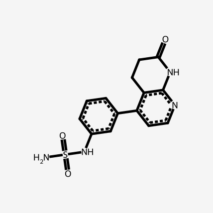 NS(=O)(=O)Nc1cccc(-c2ccnc3c2CCC(=O)N3)c1